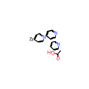 CC(=O)O.[Zn].c1ccncc1.c1ccncc1.c1ccncc1